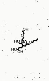 CCCCOCC(O)CC(CCC(O)O)C(CO)OCCOCCO